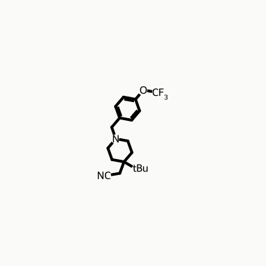 CC(C)(C)C1(CC#N)CCN(Cc2ccc(OC(F)(F)F)cc2)CC1